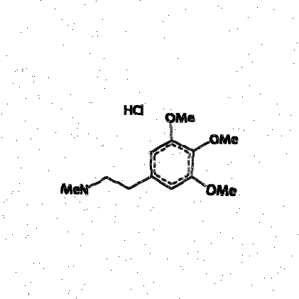 CNCCc1cc(OC)c(OC)c(OC)c1.Cl